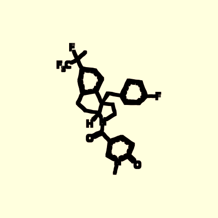 Cn1cc(C(=O)N2CC[C@@]3(Cc4ccc(F)cc4)c4ccc(C(C)(F)C(F)(F)F)cc4CC[C@@H]23)ccc1=O